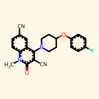 Cn1c(=O)c(C#N)c(N2CCC(Oc3ccc(F)cc3)CC2)c2cc(C#N)ccc21